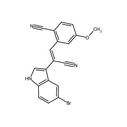 COc1ccc(C#N)c(/C=C(\C#N)c2c[nH]c3ccc(Br)cc23)c1